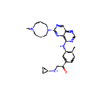 Cc1ccc(C(=O)CNC2CC2)cc1Nc1ncnc2cnc(N3CCCN(C)CCC3)nc12